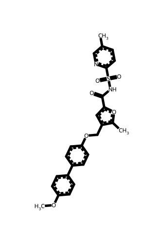 COc1ccc(-c2ccc(OCc3cc(C(=O)NS(=O)(=O)c4ccc(C)cn4)oc3C)cc2)cc1